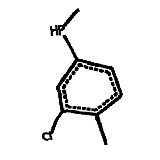 CPc1ccc(C)c(Cl)c1